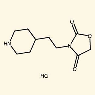 Cl.O=C1COC(=O)N1CCC1CCNCC1